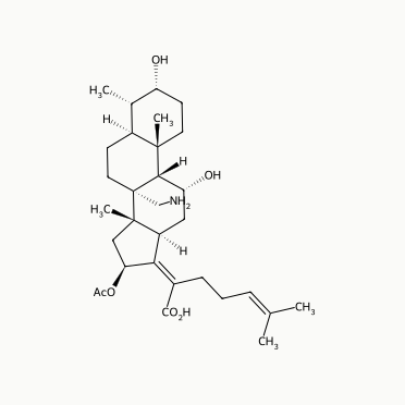 CC(=O)O[C@H]1C[C@@]2(C)[C@@H](C[C@@H](O)[C@H]3[C@@]4(C)CC[C@@H](O)[C@@H](C)[C@@H]4CC[C@@]32CN)/C1=C(\CCC=C(C)C)C(=O)O